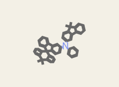 CC1(C)c2ccccc2-c2cc(N(c3ccccc3)c3ccc4c(c3)-c3ccccc3C43c4ccccc4C(C)(C)c4ccccc43)ccc21